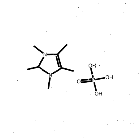 CC1=C(C)N(C)C(C)N1C.O=P(O)(O)O